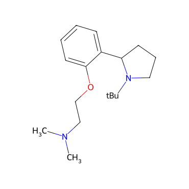 CN(C)CCOc1ccccc1C1CCCN1C(C)(C)C